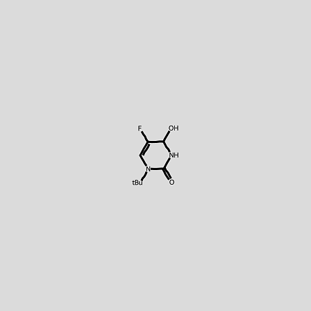 CC(C)(C)N1C=C(F)C(O)NC1=O